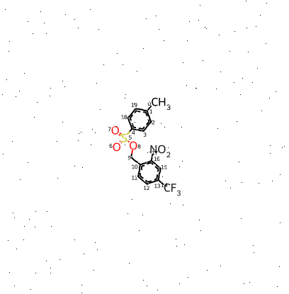 Cc1ccc(S(=O)(=O)OCc2ccc(C(F)(F)F)cc2[N+](=O)[O-])cc1